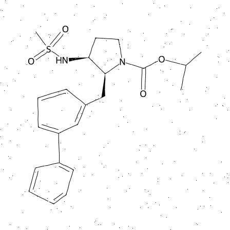 CC(C)OC(=O)N1CC[C@H](NS(C)(=O)=O)[C@@H]1Cc1cccc(-c2ccccc2)c1